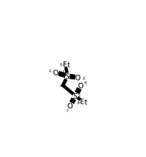 [CH2]CS(=O)(=O)CS(=O)(=O)C[CH2]